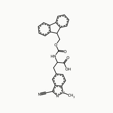 Cn1nc(C#N)c2cc(CC(NC(=O)OCC3c4ccccc4-c4ccccc43)C(=O)O)ccc21